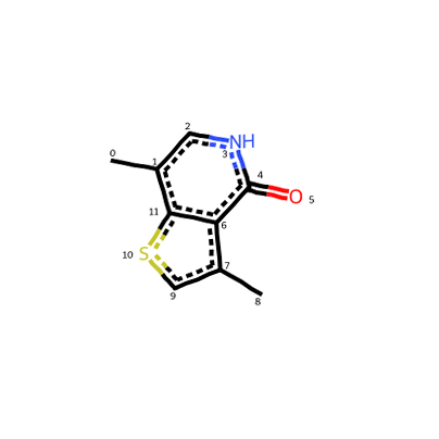 Cc1c[nH]c(=O)c2c(C)csc12